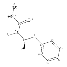 CCNC(=O)N(C)[C@H](C)Cc1ccccc1